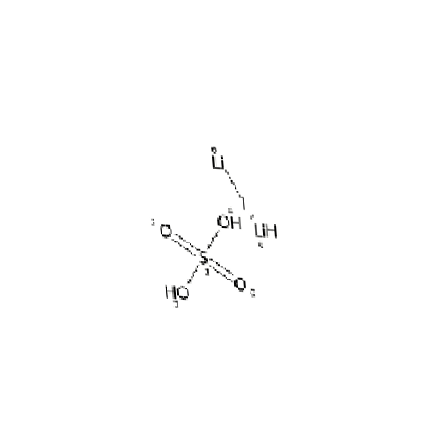 O=S(=O)(O)O.[LiH].[Li][I]